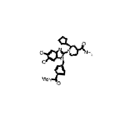 CNC(=O)c1ccc(Cn2c(N3CCC(C(N)=O)CC3C3CCCC3)nc3cc(Cl)c(Cl)cc32)cc1